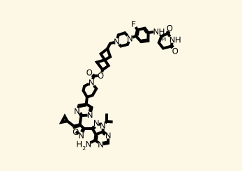 CC(C)n1nc(-c2noc(C3CC3)c2-c2ncc(C3CCN(C(=O)OC4CC5(CC(CN6CCN(c7ccc(N[C@@H]8CCC(=O)NC8=O)cc7F)CC6)C5)C4)CC3)cn2)c2c(N)ncnc21